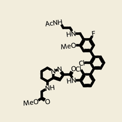 COC(=O)CNC1CCCn2nc(C(=O)Nc3cccc(-c4cccc(-c5cc(F)c(CNCCNC(C)=O)c(OC)c5)c4Cl)c3Cl)cc21